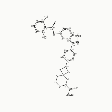 COC(=O)N1CCCC2(C1)CN(c1ccc(-c3n[nH]c4ccc(O[C@H](C)c5c(Cl)cncc5Cl)cc34)cn1)C2